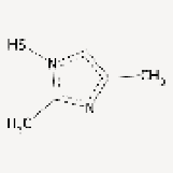 Cc1cn(S)c(C)n1